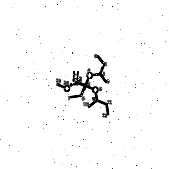 CCC(C)OC(CC)(OC(C)CC)[SiH2]OC